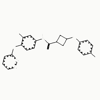 Cc1cc(NC(=O)C2CC(Oc3ccc(F)cc3)C2)ccc1Oc1cccnn1